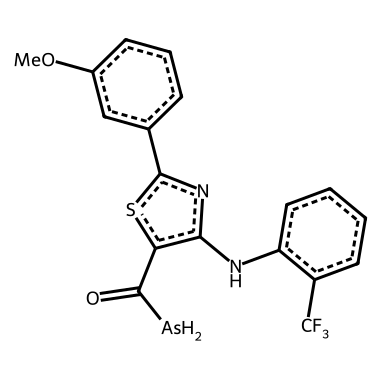 COc1cccc(-c2nc(Nc3ccccc3C(F)(F)F)c(C(=O)[AsH2])s2)c1